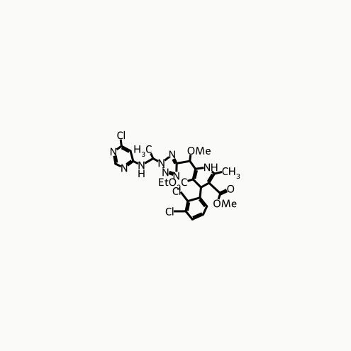 CCOC(=O)C1=C(C(OC)c2nnn(C(C)Nc3cc(Cl)ncn3)n2)NC(C)=C(C(=O)OC)C1c1cccc(Cl)c1Cl